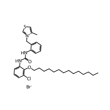 CCCCCCCCCCCCCCOc1c(Cl)cccc1NC(=O)Nc1ccccc1C[n+]1cscc1C.[Br-]